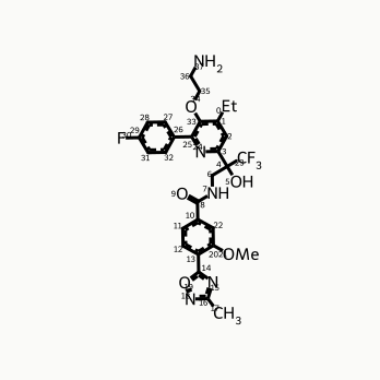 CCc1cc(C(O)(CNC(=O)c2ccc(-c3nc(C)no3)c(OC)c2)C(F)(F)F)nc(-c2ccc(F)cc2)c1OCCN